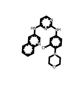 Clc1cc(Nc2nccc(Nc3cnc4ccccc4c3)n2)ccc1N1CCOCC1